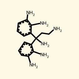 NCCC(N)(c1cccc(N)c1N)c1cccc(N)c1N